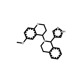 COc1ccc2c(c1)C(N1CCc3ccccc3C1c1cn[nH]c1)CCO2